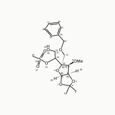 CO[C@H]1[C@H]2OC(C)(C)O[C@H]2O[C@@]1(COCc1ccccc1)C(CO)OS(C)(=O)=O